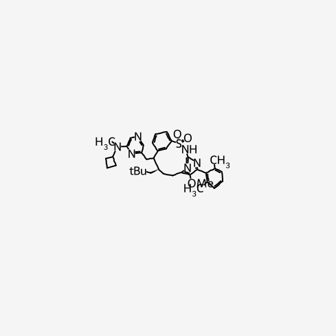 COc1c2nc(nc1-c1c(C)cccc1C)NS(=O)(=O)c1cccc(c1)C(Cc1cncc(N(C)C3CCC3)n1)[C@H](CC(C)(C)C)CC2